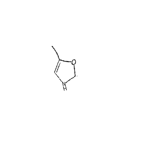 CC1=CN[CH]O1